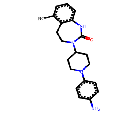 N#Cc1cccc2c1CCN(C1CCN(c3ccc(N)cc3)CC1)C(=O)N2